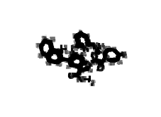 Cc1cccc(NC(=O)[C@@H]2CCC(F)CCN2C(=O)Cn2cc(C(N)=O)c3cc(-c4ccc5c(c4)CCCC5)ccc32)n1